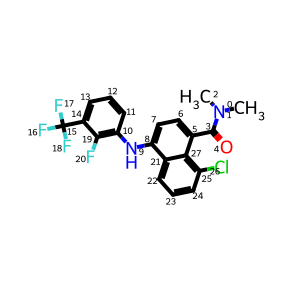 CN(C)C(=O)c1ccc(Nc2cccc(C(F)(F)F)c2F)c2cccc(Cl)c12